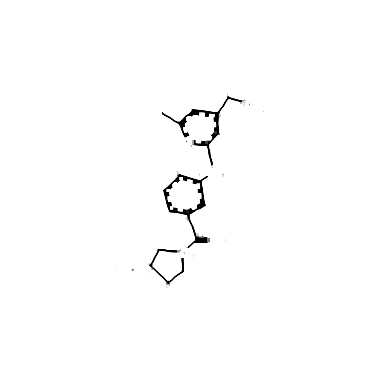 Cc1cc(CN)cc(Oc2cccc(C(=O)N3CC[C@H](O)C3)c2)n1